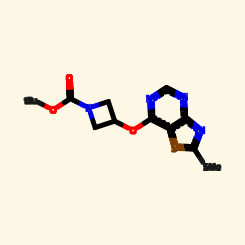 CSc1nc2ncnc(OC3CN(C(=O)OC(C)(C)C)C3)c2s1